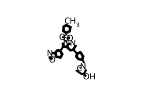 Cc1ccc(S(=O)(=O)n2cc(-c3ccc4ocnc4c3)c3cc(-c4ccc(CN5CCCC(O)C5)cc4)cnc32)cc1